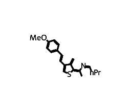 C=c1c(/C=C/c2ccc(OC)cc2)cs/c1=C(C)/N=C\CCC